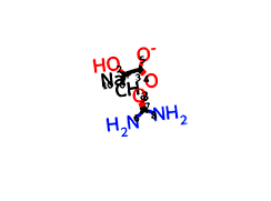 CC(O)C(=O)[O-].NC(N)=O.[Na+]